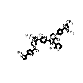 Cc1nc(-c2ccc(-c3nc(-c4cccnc4C(C)C)c4n3CCN(c3ccc(-c5nc(C(F)(F)F)cn5C)cc3)C4=O)nc2C(C)C)c2n1CCN(C(=O)c1ccc(-c3ccnn3C(C)C)nc1)C2